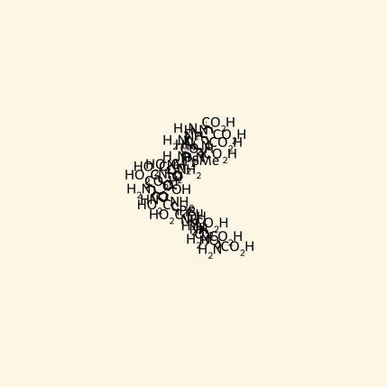 CC(C)C[C@H](N)C(=O)O.CC(C)[C@H](N)C(=O)O.CC[C@H](C)[C@H](N)C(=O)O.CSCC[C@H](N)C(=O)O.C[C@@H](O)[C@H](N)C(=O)O.N=C(N)NCCC[C@H](N)C(=O)O.NC(=O)C[C@H](N)C(=O)O.NCCCC[C@H](N)C(=O)O.N[C@@H](CCC(=O)O)C(=O)O.N[C@@H](CO)C(=O)O.N[C@@H](Cc1c[nH]c2ccccc12)C(=O)O.N[C@@H](Cc1ccc(O)cc1)C(=O)O.N[C@@H](Cc1ccccc1)C(=O)O